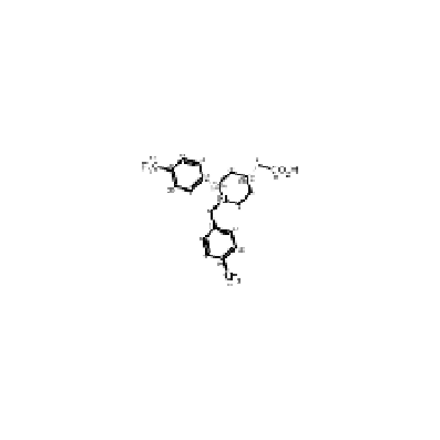 O=C(O)C[C@@H]1CCN(Cc2ccc(C(F)(F)F)cc2)[C@H](c2ccc(C(F)(F)F)cc2)C1